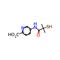 CC(C)(S)C(=O)Nc1ccc(C(=O)O)nc1